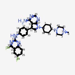 CN1CCN([C@H]2CC[C@H](n3cc(-c4ccc(Nc5nc(F)c6cc(F)ccc6n5)cc4)c4c(N)ncnc43)CC2)CC1